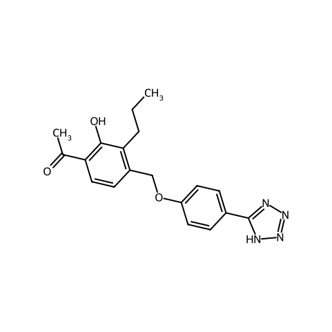 CCCc1c(COc2ccc(-c3nnn[nH]3)cc2)ccc(C(C)=O)c1O